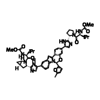 COC(=O)N[C@H](C(=O)N1CCC[C@H]1c1ncc(-c2ccc3c(c2)OC(c2ccc(C)o2)n2c-3cc3cc(-c4cnc([C@@H]5C[C@H]6C[C@H]6N5C(=O)[C@@H](NC(=O)OC)C(C)C)[nH]4)ccc32)[nH]1)C(C)C